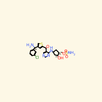 N[C@H](c1cccc(Cl)c1)c1csc(C(=O)c2cncnc2N[C@@H]2C[C@H](COS(N)(=O)=O)[C@@H](O)C2)c1